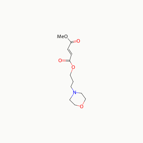 COC(=O)/C=C/C(=O)OCCCN1CCOCC1